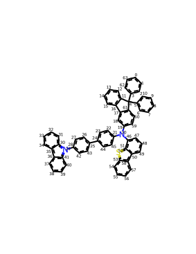 c1ccc(C2(c3ccccc3)c3ccccc3-c3cc(N(c4ccc(-c5ccc(-n6c7ccccc7c7ccccc76)cc5)cc4)c4cccc5c4sc4ccccc45)ccc32)cc1